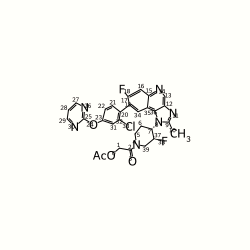 CC(=O)OCC(=O)N1CC[C@H](n2c(C)nc3cnc4cc(F)c(-c5ccc(Oc6ncccn6)cc5Cl)cc4c32)[C@@H](F)C1